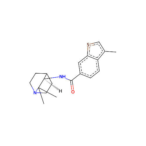 Cc1csc2cc(C(=O)N[C@@H]3C4CCN(CC4)C3(C)C)ccc12